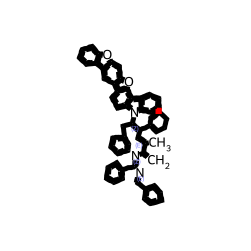 C=C(/N=C(\N=C\c1ccccc1)c1ccccc1)/C(C)=C/C(C1=CCCC=C1)=C(\Cc1ccccc1)n1c2ccccc2c2c3oc4cc5oc6ccccc6c5cc4c3ccc21